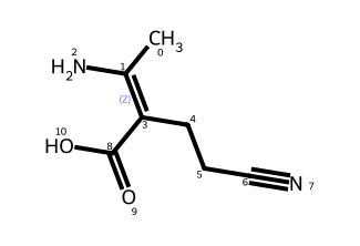 C/C(N)=C(\CCC#N)C(=O)O